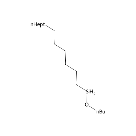 CCCCCCCCCCCCC[SiH2]OCCCC